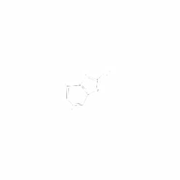 O=[C]c1nc2ccncc2[nH]1